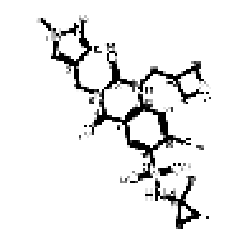 Cn1cc(Cn2c(=O)c3cc(S(=O)(=O)NC4(C)CC4)c(F)cc3n(CC3COC3)c2=O)cn1